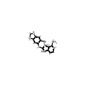 Nc1nccc2[nH]c(Sc3cc4c(cc3Br)OCO4)nc12